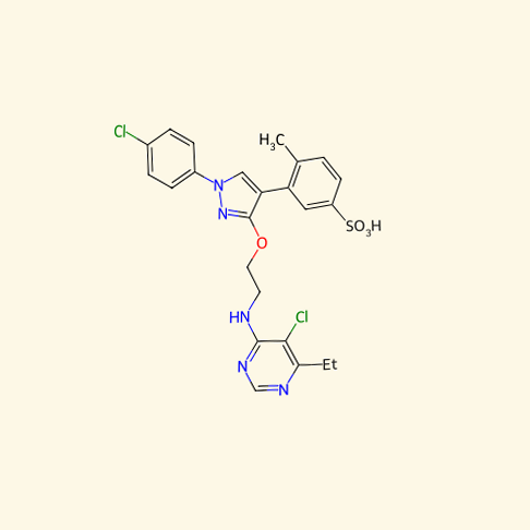 CCc1ncnc(NCCOc2nn(-c3ccc(Cl)cc3)cc2-c2cc(S(=O)(=O)O)ccc2C)c1Cl